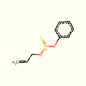 C=CCO[PH](=S)Oc1ccccc1